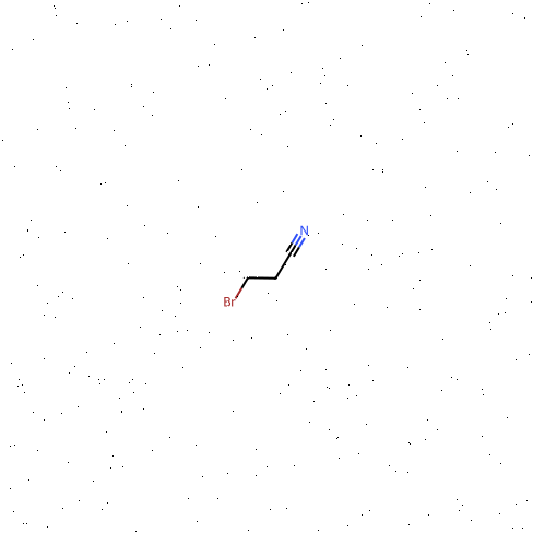 N#CC[CH]Br